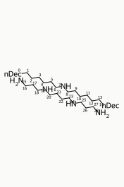 CCCCCCCCCCCCCCCCNCCCCCCCCCCCCCCCC.NCCCNCCCCNCCCN